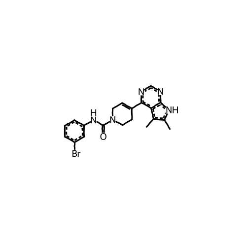 Cc1[nH]c2ncnc(C3=CCN(C(=O)Nc4cccc(Br)c4)CC3)c2c1C